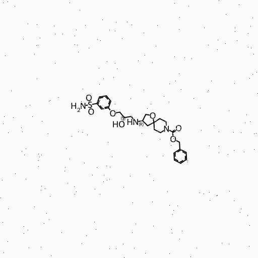 NS(=O)(=O)c1cccc(OC[C@@H](O)CN[C@H]2COC3(CCN(C(=O)OCc4ccccc4)CC3)C2)c1